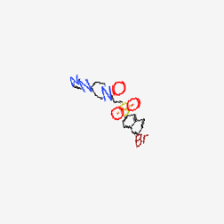 O=C(CCS(=O)(=O)c1ccc2cc(Br)ccc2c1)N1CCC(n2ccnc2)CC1